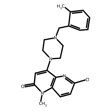 Cc1ccccc1CN1CCN(c2cc(=O)n(C)c3ccc(Cl)nc23)CC1